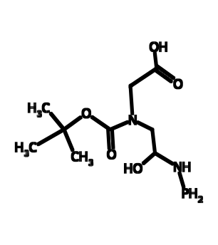 CC(C)(C)OC(=O)N(CC(=O)O)CC(O)NP